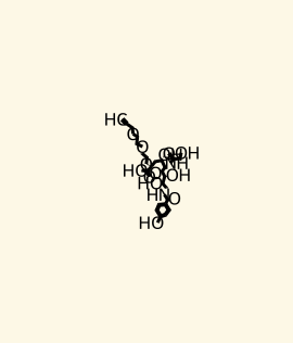 C#CCOCCOCCO[C@]1(C(=O)O)C[C@H](O)[C@@H](NC(=O)CO)[C@H]([C@H](O)[C@H](O)CNC(=O)c2ccc(O)cc2)O1